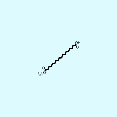 COC(=O)CCCCCCC/C=C/CCCCCCCC(=O)O